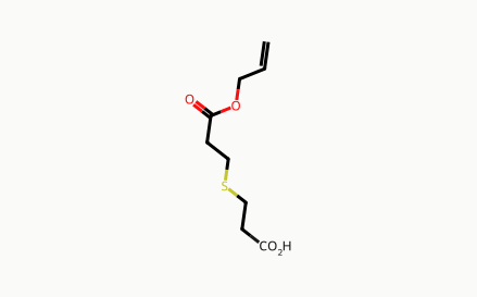 C=CCOC(=O)CCSCCC(=O)O